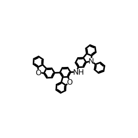 c1ccc(-n2c3ccccc3c3ccc(Nc4ccc(-c5ccc6oc7ccccc7c6c5)c5c4oc4ccccc45)cc32)cc1